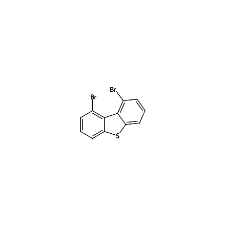 Brc1cccc2sc3cccc(Br)c3c12